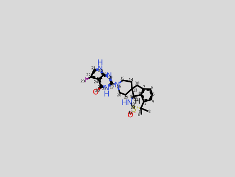 CC1(C)c2cccc3c2[C@@H](N[S@+]1[O-])C1(CCN(c2nc4[nH]cc(I)c4c(=O)[nH]2)CC1)C3